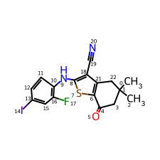 CC1(C)CC(=O)c2sc(Nc3ccc(I)cc3F)c(C#N)c2C1